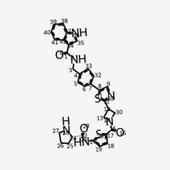 O=C(NCc1ccc(-c2cnc(C3CN(C(=O)c4ccc(NC(=O)[C@@H]5CCCN5)s4)C3)s2)cc1)c1c[nH]c2ccccc12